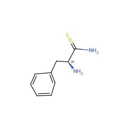 NC(=S)[C@@H](N)Cc1ccccc1